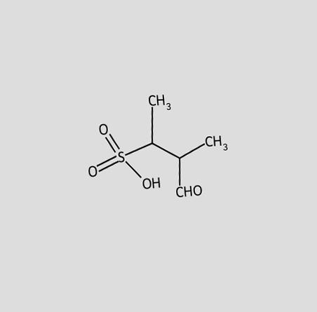 CC(C=O)C(C)S(=O)(=O)O